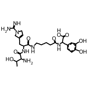 CC(O)C(N)C(=O)NC(CC1=CCN(C(=N)N)C1)C(=O)NCCCCC(=O)NC(C(=O)O)c1ccc(O)c(O)c1